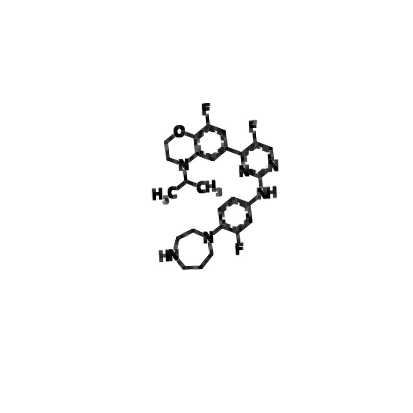 CC(C)N1CCOc2c(F)cc(-c3nc(Nc4ccc(N5CCCNCC5)c(F)c4)ncc3F)cc21